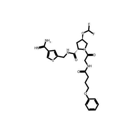 N=C(N)c1csc(CNC(=O)[C@@H]2C[C@@H](OC(F)F)CN2C(=O)CNC(=O)CCCOc2ccccc2)c1